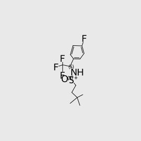 CC(C)(C)CC[S@@+]([O-])N[C@@H](c1ccc(F)cc1)C(F)(F)F